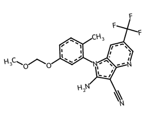 COCOc1ccc(C)c(-n2c(N)c(C#N)c3ncc(C(F)(F)F)cc32)c1